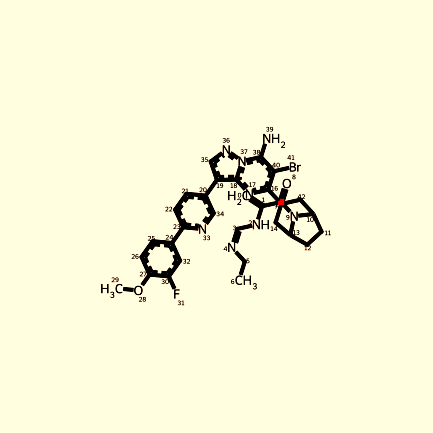 C=C(N/C=N\CC)C(=O)N1C2CCC1CC(c1nc3c(-c4ccc(-c5ccc(OC)c(F)c5)nc4)cnn3c(N)c1Br)C2